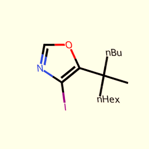 CCCCCCC(C)(CCCC)c1ocnc1I